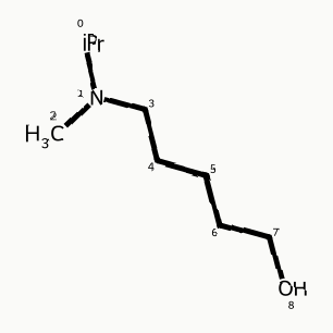 CC(C)N(C)CCCCCO